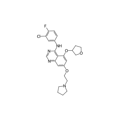 Fc1ccc(Nc2ncnc3cc(OCCN4CCCC4)cc(OC4CCOC4)c23)cc1Cl